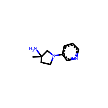 CC1(N)CCN(c2[c]nccc2)C1